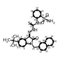 CC(C)(C)c1ccc2c(c1)C(=NNC(=S)Nc1ccccc1S(N)(=O)=O)C(=O)N2Cc1ccc2ccccc2c1